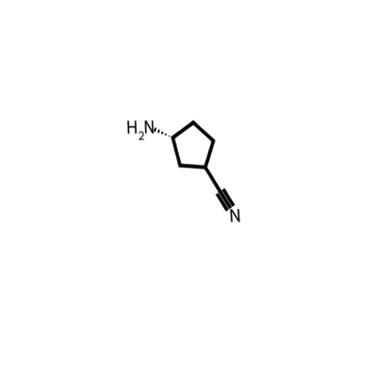 N#CC1CC[C@@H](N)C1